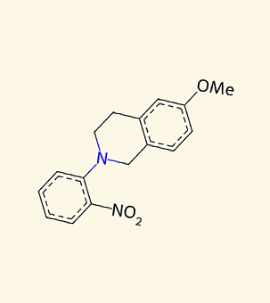 COc1ccc2c(c1)CCN(c1ccccc1[N+](=O)[O-])C2